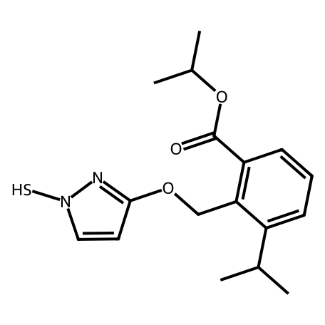 CC(C)OC(=O)c1cccc(C(C)C)c1COc1ccn(S)n1